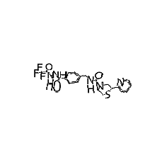 O=C(NNC(=O)C(F)(F)F)c1ccc(CNC(=O)N2CCSC(c3ccccn3)C2)cc1